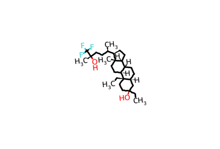 CC[C@]1(O)CC[C@@]2(CC)[C@@H](CC[C@H]3[C@@H]4CC[C@H]([C@H](C)CC[C@](C)(O)C(F)(F)F)[C@@]4(C)CC[C@@H]32)C1